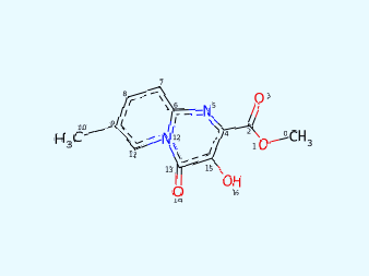 COC(=O)c1nc2ccc(C)cn2c(=O)c1O